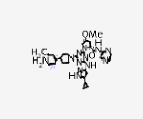 C=C/C=C(\C=C/N)C1CCN(c2nc(Nc3cc(C4CC4)[nH]n3)nc(N3C[C@@H](OC)C[C@H]3C(=O)Nc3cnccn3)n2)CC1